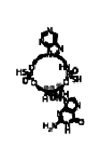 Nc1nc2c(ncn2[C@@H]2O[C@@H]3COP(=O)(S)OCCn4c(nc5cncnc54)CNP(=O)(S)O[C@@H]2[C@@H]3F)c(=O)[nH]1